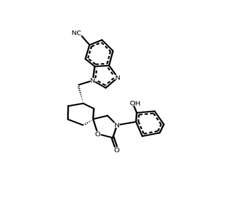 N#Cc1ccc2ncn(C[C@H]3CCC[C@]4(C3)CN(c3ccccc3O)C(=O)O4)c2c1